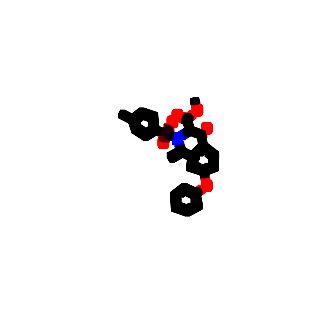 C=C1c2cc(Oc3ccccc3)ccc2C(=O)C(C(=O)OC)N1S(=O)(=O)c1ccc(C)cc1